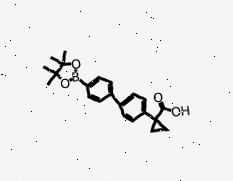 CC1(C)OB(c2ccc(-c3ccc(C4(C(=O)O)CC4)cc3)cc2)OC1(C)C